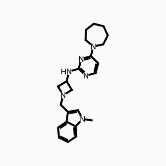 Cn1cc(CN2CC(Nc3nccc(N4CCCCCC4)n3)C2)c2ccccc21